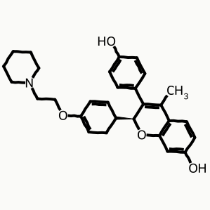 CC1=C(c2ccc(O)cc2)[C@H](C2C=CC(OCCN3CCCCC3)=CC2)Oc2cc(O)ccc21